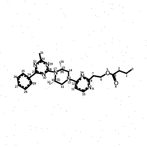 CCCC(=O)OCCc1nccc(N2C[C@@H](C)N(c3nc(C)nc(-c4ccccc4)n3)[C@@H](C)C2)n1